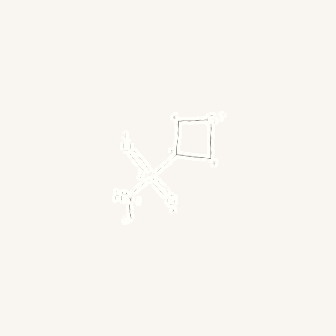 CNS(=O)(=O)C1COC1